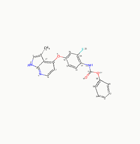 Cc1c[nH]c2nccc(Oc3ccc(NC(=O)Oc4ccccc4)c(F)c3)c12